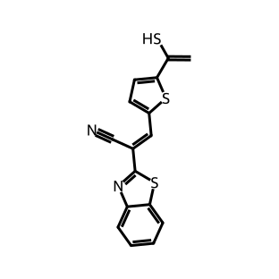 C=C(S)c1ccc(/C=C(\C#N)c2nc3ccccc3s2)s1